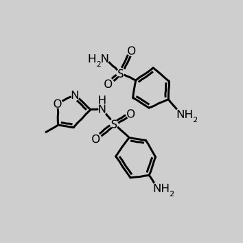 Cc1cc(NS(=O)(=O)c2ccc(N)cc2)no1.Nc1ccc(S(N)(=O)=O)cc1